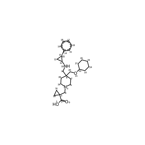 O=C(O)C1(CN2CCC(CNC3C[C@H]3c3ccccc3)(COC3CCCCC3)CC2)CC1